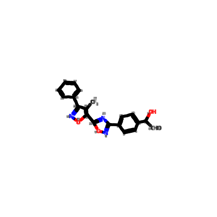 O=CC(O)c1ccc(-c2noc(-c3onc(-c4ccccc4)c3C(F)(F)F)n2)cc1